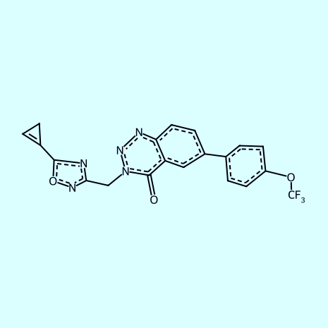 O=c1c2cc(-c3ccc(OC(F)(F)F)cc3)ccc2nnn1Cc1noc(C2=CC2)n1